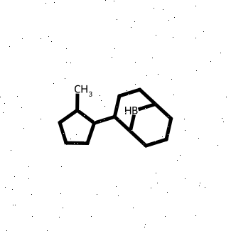 CC1CCCC1C1CCC2BC1CCC2